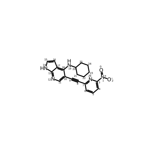 O=[N+]([O-])c1cccc(C#Cc2cnc3[nH]ccc3c2NC2CCCCC2)n1